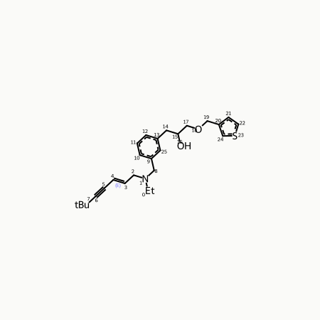 CCN(C/C=C/C#CC(C)(C)C)Cc1cccc(CC(O)COCc2ccsc2)c1